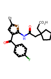 CCc1cc(C(=O)c2ccc(F)cc2)c(NC(=O)CC2(CC(=O)O)CCCC2)s1